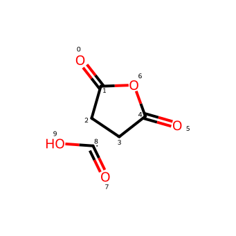 O=C1CCC(=O)O1.O=[C]O